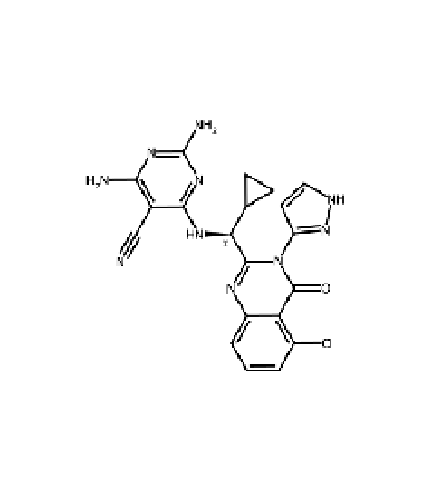 N#Cc1c(N)nc(N)nc1N[C@H](c1nc2cccc(Cl)c2c(=O)n1-c1cc[nH]n1)C1CC1